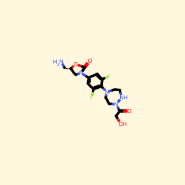 NC[C@H]1CN(c2cc(F)c(N3CCNN(C(=O)CO)CC3)c(F)c2)C(=O)O1